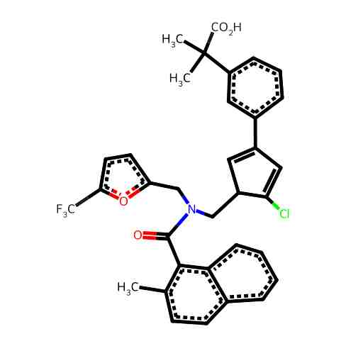 Cc1ccc2ccccc2c1C(=O)N(Cc1ccc(C(F)(F)F)o1)CC1C=C(c2cccc(C(C)(C)C(=O)O)c2)C=C1Cl